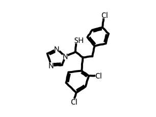 SC(C(Cc1ccc(Cl)cc1)c1ccc(Cl)cc1Cl)n1cncn1